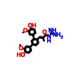 COc1cc(-c2ccc(/C=C(\C)C(=O)NC(=N)N)c(-c3ccc(O)c(OC)c3)c2)ccc1O